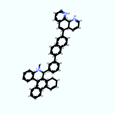 CN1c2ccccc2-c2c(c3c(c4ccccc24)C=CCC3)C1c1cccc(-c2ccc3cc(C4=Cc5cccnc5C5N=CC=CC45)ccc3c2)c1